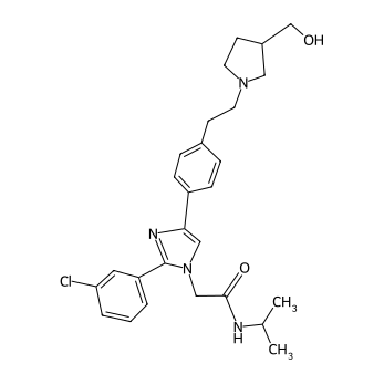 CC(C)NC(=O)Cn1cc(-c2ccc(CCN3CCC(CO)C3)cc2)nc1-c1cccc(Cl)c1